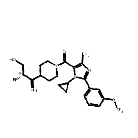 CC[C@H](CO)C(=N)C1CCN(C(=O)c2c(C)nc(-c3cccc(OC(F)(F)F)c3)n2C2CC2)CC1